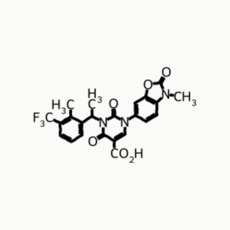 Cc1c(C(C)n2c(=O)c(C(=O)O)cn(-c3ccc4c(c3)oc(=O)n4C)c2=O)cccc1C(F)(F)F